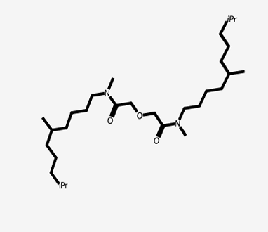 CC(C)CCCC(C)CCCCN(C)C(=O)COCC(=O)N(C)CCCCC(C)CCCC(C)C